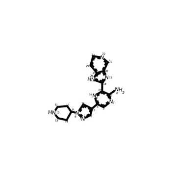 Nc1ncc(-c2cnn(C3CCNCC3)c2)nc1-c1nc2cnccc2[nH]1